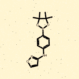 CC1(C)OB(c2ccc(Nc3ccon3)cc2)OC1(C)C